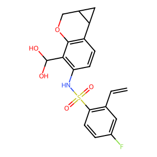 C=Cc1cc(F)ccc1S(=O)(=O)Nc1ccc2c(c1C(O)O)OCC1CC21